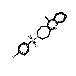 Cc1c2c(nc3ccccc13)CCN(S(=O)(=O)c1ccc(Cl)cc1)CC2